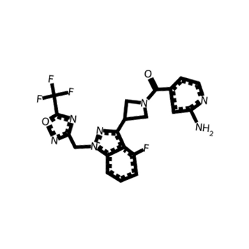 Nc1cc(C(=O)N2CC(c3nn(Cc4noc(C(F)(F)F)n4)c4cccc(F)c34)C2)ccn1